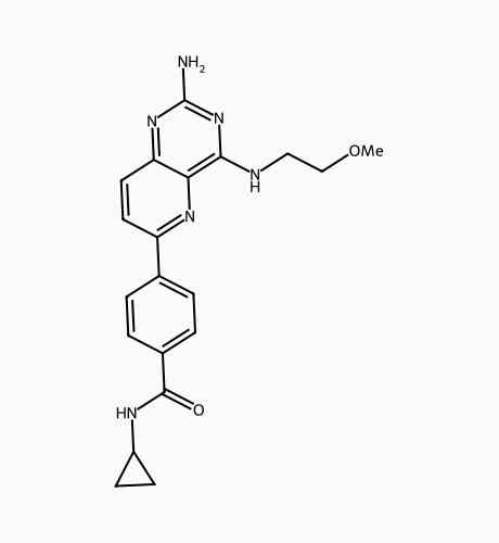 COCCNc1nc(N)nc2ccc(-c3ccc(C(=O)NC4CC4)cc3)nc12